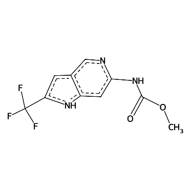 COC(=O)Nc1cc2[nH]c(C(F)(F)F)cc2cn1